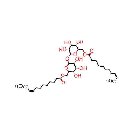 CCCCCCCC/C=C\CCCCCCCC(=O)OC[C@H]1O[C@H](O[C@H]2O[C@H](COC(=O)CCCCCCC/C=C\CCCCCCCC)[C@@H](O)[C@H](O)[C@H]2O)[C@H](O)[C@@H](O)[C@@H]1O